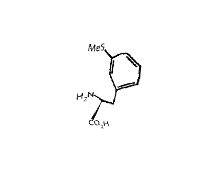 CSc1cccc(C[C@H](N)C(=O)O)c1